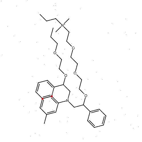 CCCOCCOC(CN(CC(OCCOCCOCC[N+](C)(C)CCC)c1ccccc1)c1cccc(C)c1)c1ccccc1